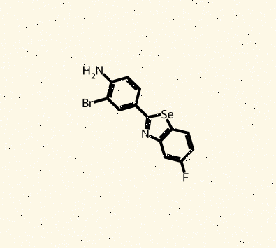 Nc1ccc(-c2nc3cc(F)ccc3[se]2)cc1Br